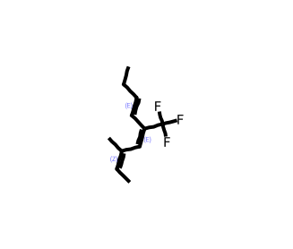 C\C=C(C)/C=C(\C=C\CC)C(F)(F)F